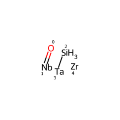 [O]=[Nb].[SiH3][Ta].[Zr]